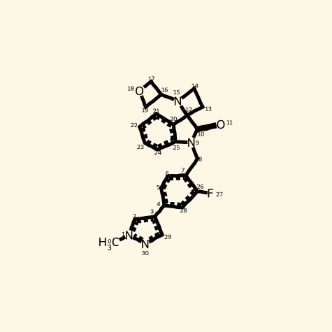 Cn1cc(-c2ccc(CN3C(=O)C4(CCN4C4COC4)c4ccccc43)c(F)c2)cn1